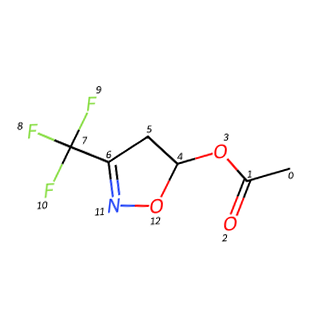 CC(=O)OC1CC(C(F)(F)F)=NO1